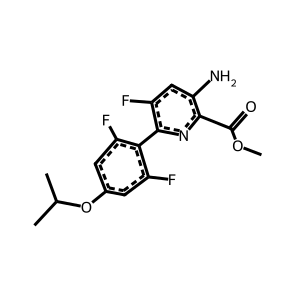 COC(=O)c1nc(-c2c(F)cc(OC(C)C)cc2F)c(F)cc1N